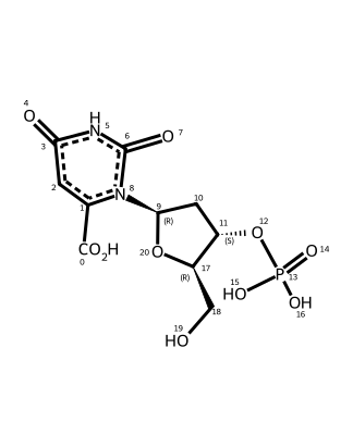 O=C(O)c1cc(=O)[nH]c(=O)n1[C@H]1C[C@H](OP(=O)(O)O)[C@@H](CO)O1